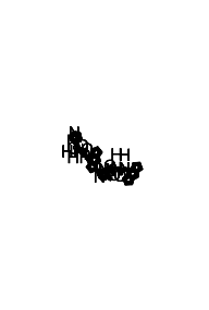 Cc1cnc(C2CCc3c2cc2c(c3NC(=O)NS(=O)(=O)c3ccncn3)CCC2)nc1S(=O)(=O)NC(=O)Nc1c2c(cc3c1CCC3)CCC2